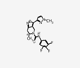 C[C@H]1Cc2noc(-c3ccn(C)n3)c2CN1C(=O)Nc1cc(F)c(F)c(F)c1